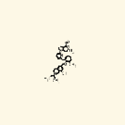 CCc1c(C(=O)N=O)cnn1-c1cccc(CC2=CCCCC(C)=C2OCc2cc(C)c3c(c2)CCN(C(CC)CC)C3)n1